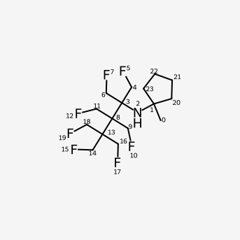 CC1(NC(CF)(CF)C(CF)(CF)C(CF)(CF)CF)CCCC1